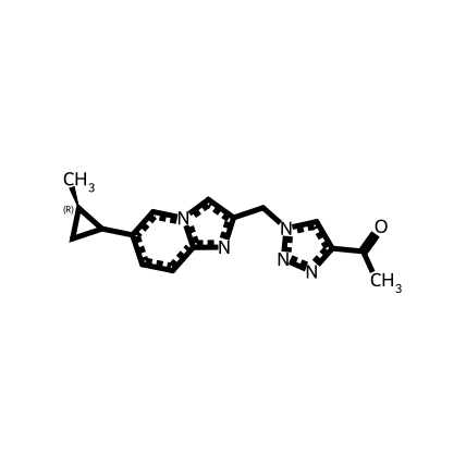 CC(=O)c1cn(Cc2cn3cc(C4C[C@H]4C)ccc3n2)nn1